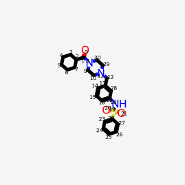 O=C(C1CCCCC1)N1CCN(Cc2cccc(NS(=O)(=O)c3ccccc3)c2)CC1